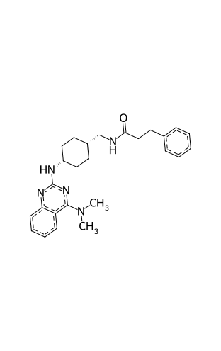 CN(C)c1nc(N[C@H]2CC[C@@H](CNC(=O)CCc3ccccc3)CC2)nc2ccccc12